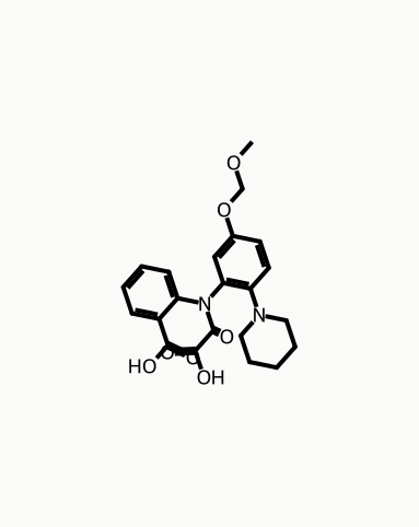 COCOc1ccc(N2CCCCC2)c(N(C(=O)C(=O)O)c2ccccc2C(=O)O)c1